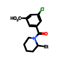 CCC1CCCCN1C(=O)c1cc(Cl)cc(C(=O)O)c1